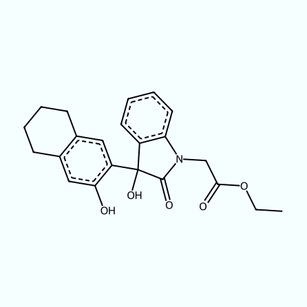 CCOC(=O)CN1C(=O)C(O)(c2cc3c(cc2O)CCCC3)c2ccccc21